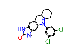 O=C1[N]c2cc(Nc3cc(Cl)cc(Cl)c3)c(CC3CCCCC3)cc2N1